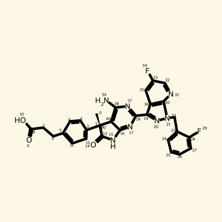 C[C@]1(c2ccc(CCC(=O)O)cc2)C(=O)Nc2nc(-c3nn(Cc4ccccc4F)c4ncc(F)cc34)nc(N)c21